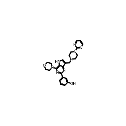 Oc1cccc(-c2nc(N3CCOCC3)c3[nH]cc(CN4CCN(c5ncccn5)CC4)c3n2)c1